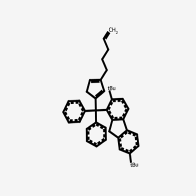 C=CCCCC1=CCC(C(c2ccccc2)(c2ccccc2)c2c(C(C)(C)C)ccc3c2Cc2cc(C(C)(C)C)ccc2-3)=C1